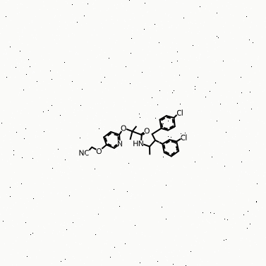 CC(NC(=O)C(C)(C)Oc1ccc(OCC#N)cn1)C(Cc1ccc(Cl)cc1)c1cccc(Cl)c1